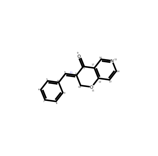 O=C1/C(=C/c2ccccc2)COc2ccncc21